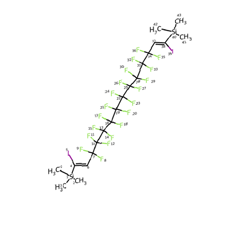 C[Si](C)(C)C(I)=CC(F)(F)C(F)(F)C(F)(F)C(F)(F)C(F)(F)C(F)(F)C(F)(F)C(F)(F)C(F)(F)C(F)(F)C=C(I)[Si](C)(C)C